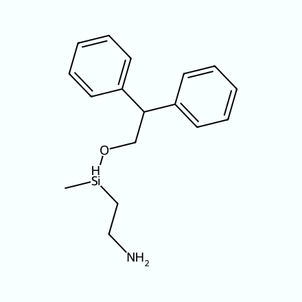 C[SiH](CCN)OCC(c1ccccc1)c1ccccc1